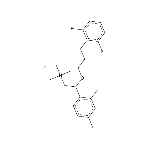 Cc1ccc(C(C[N+](C)(C)C)OCCCc2c(F)cccc2F)c(C)c1.[I-]